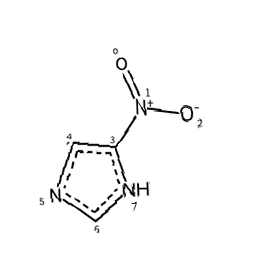 O=[N+]([O-])c1[c]nc[nH]1